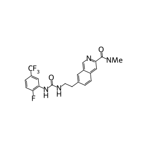 CNC(=O)c1cc2ccc(CCNC(=O)Nc3cc(C(F)(F)F)ccc3F)cc2cn1